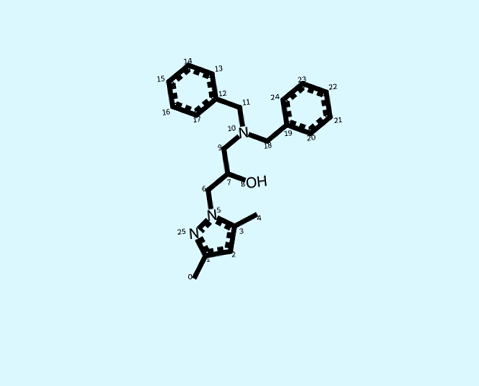 Cc1cc(C)n(CC(O)CN(Cc2ccccc2)Cc2ccccc2)n1